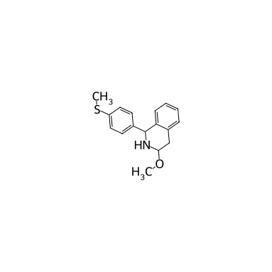 COC1Cc2ccccc2C(c2ccc(SC)cc2)N1